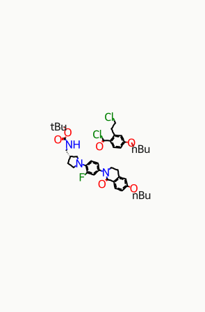 CCCCOc1ccc(C(=O)Cl)c(CCCl)c1.CCCCOc1ccc2c(c1)CCN(c1ccc(N3CC[C@H](CNC(=O)OC(C)(C)C)C3)c(F)c1)C2=O